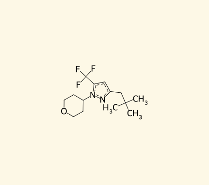 CC(C)(C)Cc1cc(C(F)(F)F)n(C2CCOCC2)n1